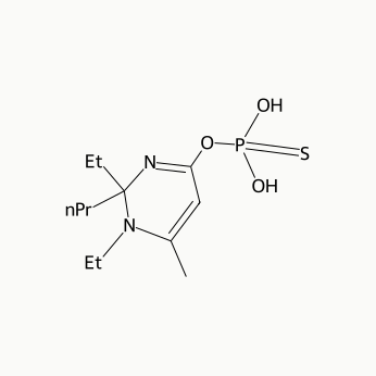 CCCC1(CC)N=C(OP(O)(O)=S)C=C(C)N1CC